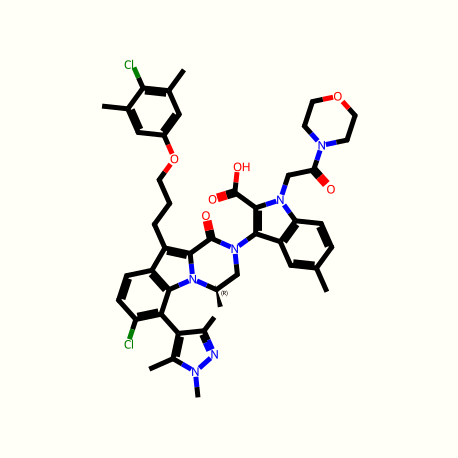 Cc1ccc2c(c1)c(N1C[C@@H](C)n3c(c(CCCOc4cc(C)c(Cl)c(C)c4)c4ccc(Cl)c(-c5c(C)nn(C)c5C)c43)C1=O)c(C(=O)O)n2CC(=O)N1CCOCC1